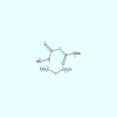 CCOC(=O)CC(=O)OCC.COC(=O)CC(=O)OC(C)(C)C